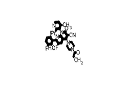 C=CC(=O)N1CCN(c2c(C#N)c(=O)n(-c3c(C)ccnc3C(C)C)c3nc(-c4c(F)ccc(F)c4O)c(F)cc23)CC1